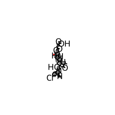 CC(C)C1=C2[C@H]3CC[C@@H]4[C@@]5(C)CC[C@H](OC(=O)CC(C)(C)C(=O)O)C(C)(C)[C@@H]5CC[C@@]4(C)[C@]3(C)CCC2(C(O)CN(CCN(C)C)Cc2ccc(Cl)cn2)CC1=O